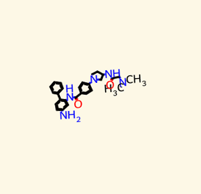 CN(C)CC(=O)NC1CCN(c2ccc(C(=O)Nc3cc(N)ccc3-c3ccccc3)cc2)C1